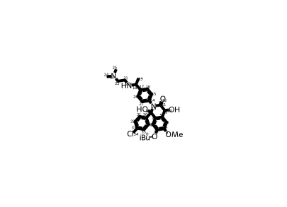 CC[C@@H](C)Oc1cc2c(cc1OC)C(O)C(=O)N(c1ccc(C(C)NCCN(C)C)cc1)C2(O)c1ccc(Cl)cc1